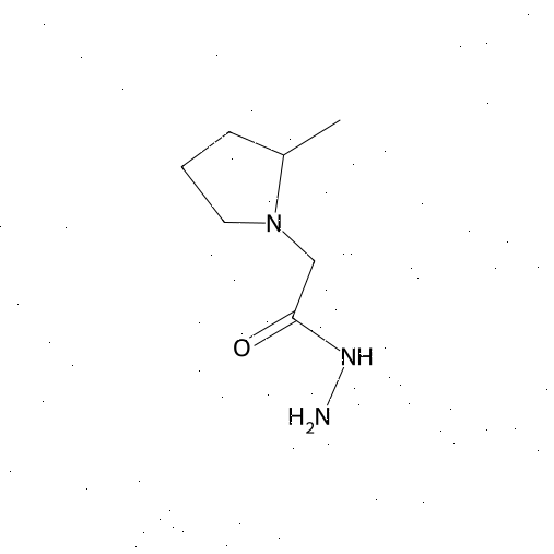 CC1CCCN1CC(=O)NN